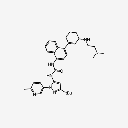 Cc1ccc(-n2nc(C(C)(C)C)cc2NC(=O)Nc2ccc(C3=CC(NCCN(C)C)CCC3)c3ccccc23)cn1